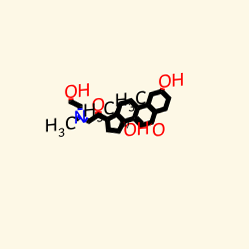 CN(CCO)CC(=O)C1CC[C@@]2(O)C3=CC(=O)C4CCC(O)CC4(C)C3CCC12C